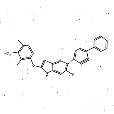 Cc1ccc(Oc2cc3nc(-c4c#cc(-c5ccccc5)cc4)c(F)cc3[nH]2)c(C)c1C(=O)O